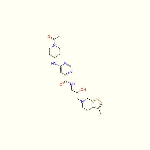 CC(=O)N1CCC(Nc2cc(C(=O)NCC(O)CN3CCc4c(C)csc4C3)ncn2)CC1